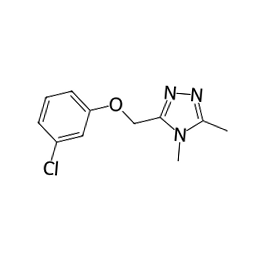 Cc1nnc(COc2cccc(Cl)c2)n1C